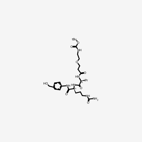 CC(C)[C@H](NC(=O)CCOCCNC(=O)OC(C)(C)C)C(=O)N[C@@H](CCCNC(N)=O)C(=O)Nc1ccc(CO)cc1